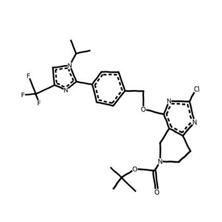 CC(C)n1cc(C(F)(F)F)nc1-c1ccc(COc2nc(Cl)nc3c2CN(C(=O)OC(C)(C)C)CC3)cc1